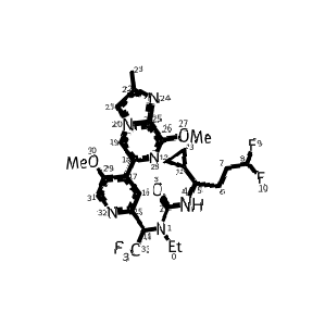 CCN(C(=O)NC(CCC(F)F)C1CC1)C(c1cc(-c2cn3cc(C)nc3c(OC)n2)c(OC)cn1)C(F)(F)F